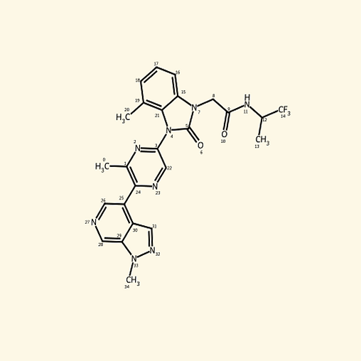 Cc1nc(-n2c(=O)n(CC(=O)NC(C)C(F)(F)F)c3cccc(C)c32)cnc1-c1cncc2c1cnn2C